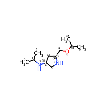 CC(C)N[C@@H]1CN[C@H](COC(C)C)C1